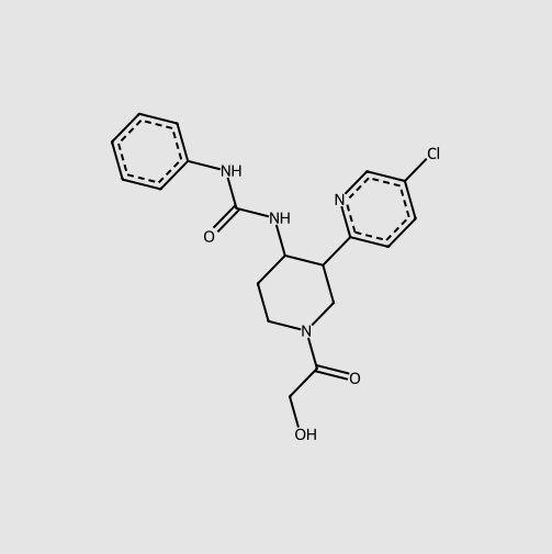 O=C(Nc1ccccc1)NC1CCN(C(=O)CO)CC1c1ccc(Cl)cn1